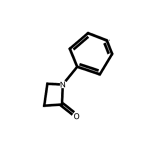 O=C1CCN1c1cc[c]cc1